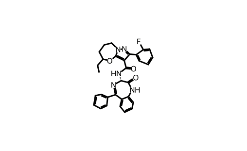 CCC1CCCn2nc(-c3ccccc3F)c(C(=O)N[C@H]3N=C(c4ccccc4)c4ccccc4NC3=O)c2O1